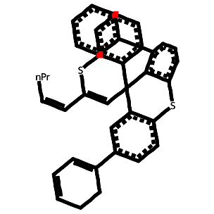 CCC/C=C\C1=CC2(c3ccccc3S1)c1cc(C3=CC=CCC3)ccc1Sc1cccc(-c3ccccc3)c12